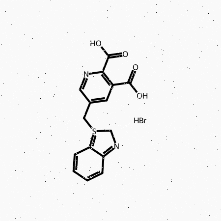 Br.O=C(O)c1cc(CS2=c3ccccc3=NC2)cnc1C(=O)O